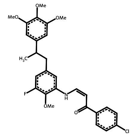 COc1cc(C(C)Cc2cc(F)c(OC)c(N/C=C\C(=O)c3ccc(Cl)cc3)c2)cc(OC)c1OC